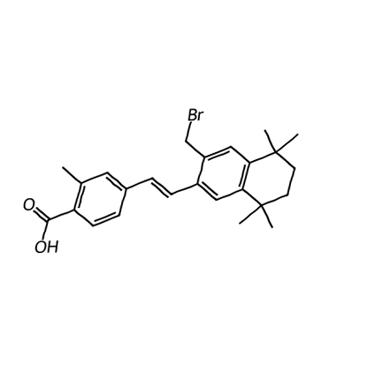 Cc1cc(C=Cc2cc3c(cc2CBr)C(C)(C)CCC3(C)C)ccc1C(=O)O